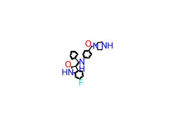 O=C1Nc2cc(F)ccc2C1=C(Nc1ccc(C(=O)N2CCNCC2)cc1)c1ccccc1